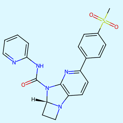 CS(=O)(=O)c1ccc(-c2ccc3c(n2)N(C(=O)Nc2ccccn2)[C@H]2CCN32)cc1